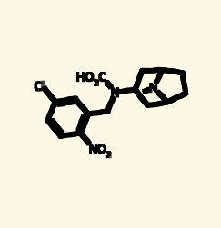 CN1C2CCC1CC(N(Cc1cc(Cl)ccc1[N+](=O)[O-])C(=O)O)C2